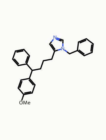 COc1ccc(C(CCCc2cncn2Cc2ccccc2)c2ccccc2)cc1